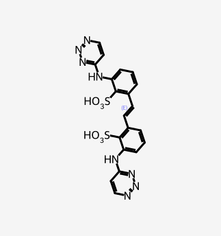 O=S(=O)(O)c1c(/C=C/c2cccc(Nc3ccnnn3)c2S(=O)(=O)O)cccc1Nc1ccnnn1